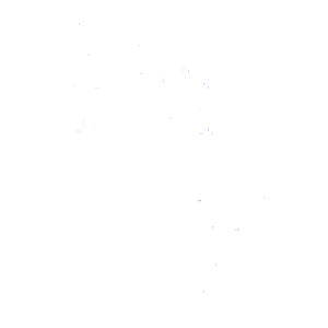 COc1ccc(-c2nnc(NC(=O)c3ccc(Oc4ccccc4)cc3)o2)cc1OC